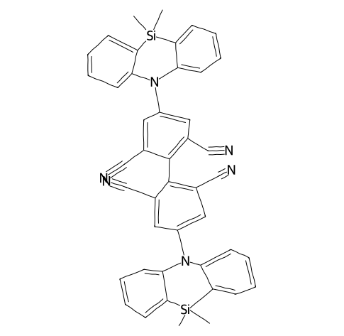 C[Si]1(C)c2ccccc2N(c2cc(C#N)c(-c3c(C#N)cc(N4c5ccccc5[Si](C)(C)c5ccccc54)cc3C#N)c(C#N)c2)c2ccccc21